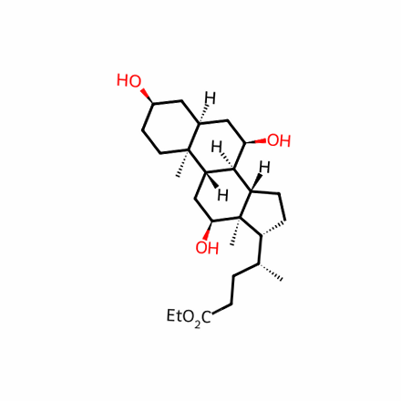 CCOC(=O)CC[C@@H](C)[C@H]1CC[C@H]2[C@@H]3[C@H](O)C[C@@H]4C[C@H](O)CC[C@]4(C)[C@H]3C[C@H](O)[C@]12C